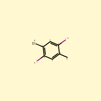 CCc1cc(I)c(C)cc1I